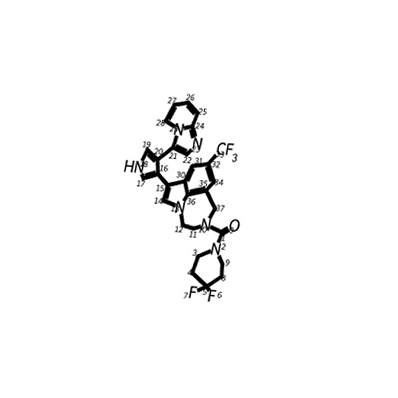 O=C(N1CCC(F)(F)CC1)N1CCn2cc(-c3c[nH]cc3-c3cnc4ccccn34)c3cc(C(F)(F)F)cc(c32)C1